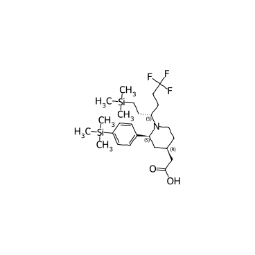 C[Si](C)(C)CC[C@H](CCC(F)(F)F)N1CC[C@@H](CC(=O)O)C[C@H]1c1ccc([Si](C)(C)C)cc1